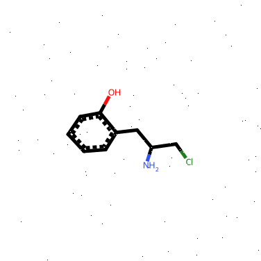 NC(CCl)Cc1ccccc1O